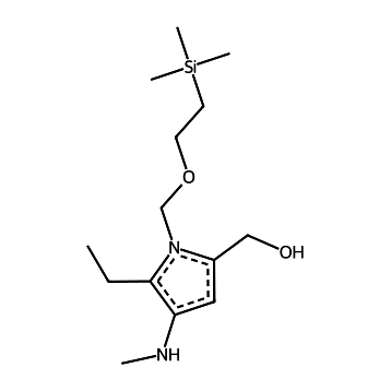 CCc1c(NC)cc(CO)n1COCC[Si](C)(C)C